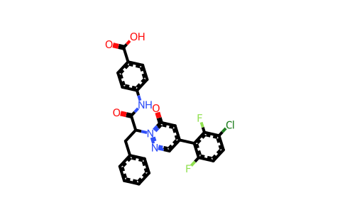 O=C(O)c1ccc(NC(=O)C(Cc2ccccc2)n2ncc(-c3c(F)ccc(Cl)c3F)cc2=O)cc1